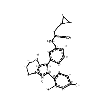 O=C(CC1CC1)Nc1cc(-c2c(-c3ccc(F)cc3F)nn3c2OCCC3)ccn1